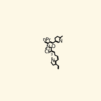 C=CC1=C(/C=C\C/C=C(\C)C(=O)N(CC(F)(F)F)C(/C=C/C2=CN=C(C)CC2)=C/CCC)N(C)CC1